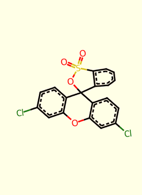 O=S1(=O)OC2(c3ccc(Cl)cc3Oc3cc(Cl)ccc32)c2ccccc21